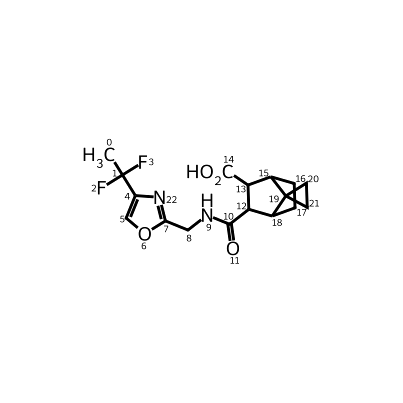 CC(F)(F)c1coc(CNC(=O)C2C(C(=O)O)C3CCC2C32CC2)n1